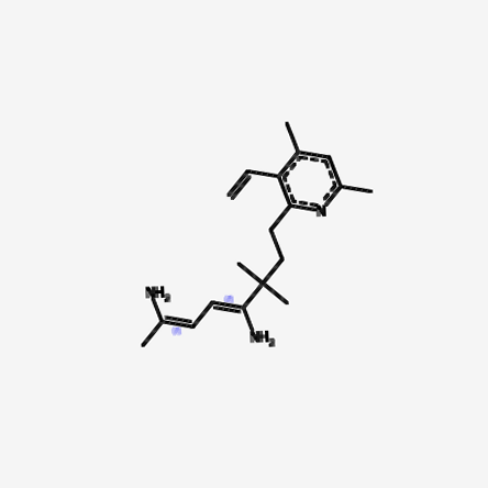 C=Cc1c(C)cc(C)nc1CCC(C)(C)/C(N)=C/C=C(/C)N